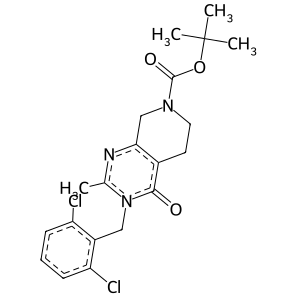 Cc1nc2c(c(=O)n1Cc1c(Cl)cccc1Cl)CCN(C(=O)OC(C)(C)C)C2